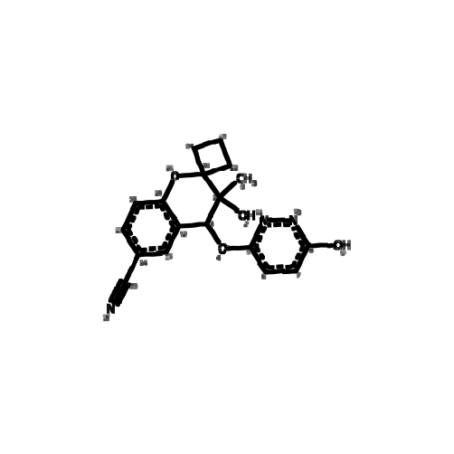 CC1(O)C(Oc2ccc(O)nn2)c2cc(C#N)ccc2OC12CCC2